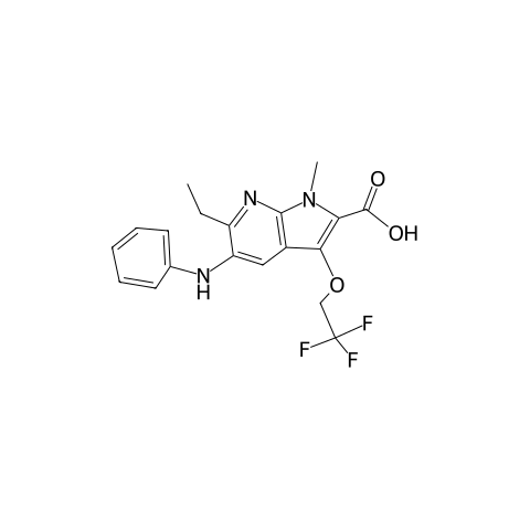 CCc1nc2c(cc1Nc1ccccc1)c(OCC(F)(F)F)c(C(=O)O)n2C